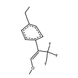 CCc1ccc(C(=COC)C(F)(F)F)cc1